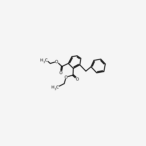 CCOC(=O)c1cccc(Cc2ccccc2)c1C(=O)OCC